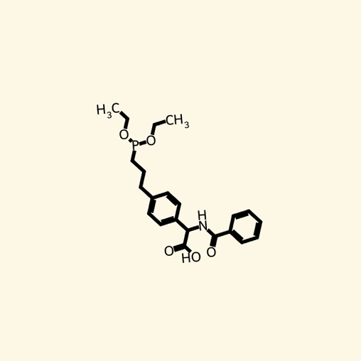 CCOP(CCCc1ccc(C(NC(=O)c2ccccc2)C(=O)O)cc1)OCC